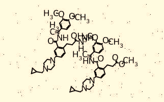 COC(=O)CCc1ccc(N2CCN(CC3CC3)CC2)cc1C(=O)N[C@H](C)c1ccc(OC)c(OC)c1.COc1ccc([C@@H](C)NC(=O)c2cc(N3CCN(CC4CC4)CC3)ccc2CCC(=O)NN)cc1OC